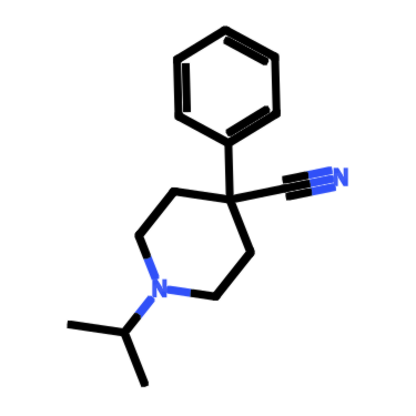 CC(C)N1CCC(C#N)(c2ccccc2)CC1